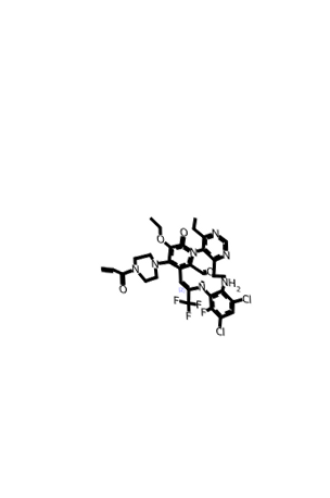 C=CC(=O)N1CCN(c2c(/C=C(\N(C)c3c(N)c(Cl)cc(Cl)c3F)C(F)(F)F)c(C=O)n(-c3c(CC)ncnc3CC)c(=O)c2OCC)CC1